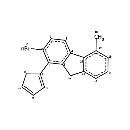 CCCCc1ccc2c(c1C1=CC=CC1)[CH]c1cccc(C)c1-2